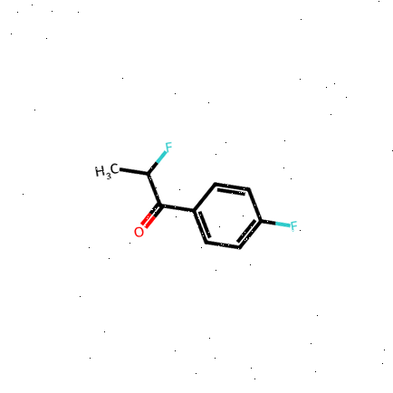 CC(F)C(=O)c1ccc(F)cc1